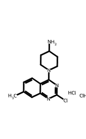 Cc1ccc2c(N3CCC(N)CC3)nc(Cl)nc2c1.Cl.Cl